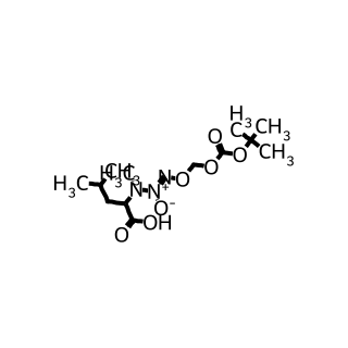 CC(C)CC(C(=O)O)N(C)[N+]([O-])=NOCOC(=O)OC(C)(C)C